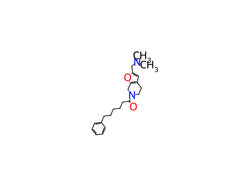 CN(C)Cc1cc2c(o1)CN(C(=O)CCCCCc1ccccc1)CC2